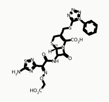 Nc1nc(C(=NOCC(=O)O)C(=O)NC2C(=O)N3C(C(=O)O)=C(CSc4nnnn4-c4ccccc4)CS[C@@H]23)ns1